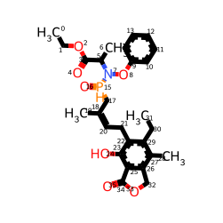 CCOC(=O)C(C)N(Oc1ccccc1)[PH](=O)CC(C)=CCc1c(O)c2c(c(C)c1CC)COC2=O